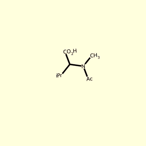 CC(=O)N(C)C(C(=O)O)C(C)C